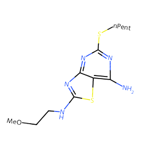 CCCCCSc1nc(N)c2sc(NCCOC)nc2n1